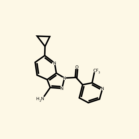 Nc1nn(C(=O)c2cccnc2C(F)(F)F)c2nc(C3CC3)ccc12